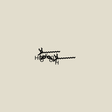 CCCCCCCCCCCCCCCC[PH](CCCC)(CCCC)CCCC.CCCCCCCCCCCCCCCC[PH](CCCC)(CCCC)CCCC.O=C(O)c1ccc(Sc2ccc(C(=O)O)cc2)cc1